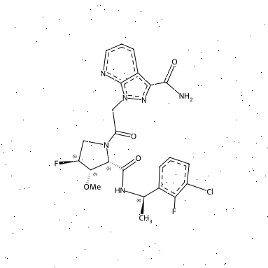 CO[C@H]1[C@@H](C(=O)N[C@H](C)c2cccc(Cl)c2F)N(C(=O)Cn2nc(C(N)=O)c3cccnc32)C[C@@H]1F